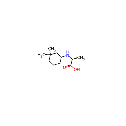 C[C@H](NC1CCCC(C)(C)C1)C(=O)O